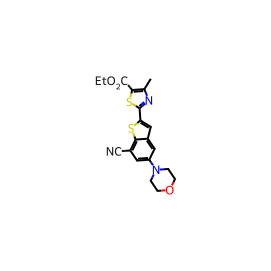 CCOC(=O)c1sc(-c2cc3cc(N4CCOCC4)cc(C#N)c3s2)nc1C